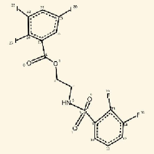 O=C(OCCNS(=O)(=O)c1cccc(F)c1F)c1cc(I)cc(I)c1I